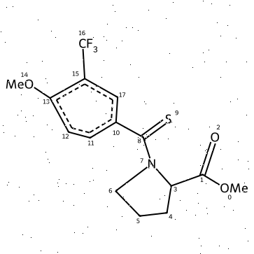 COC(=O)C1CCCN1C(=S)c1ccc(OC)c(C(F)(F)F)c1